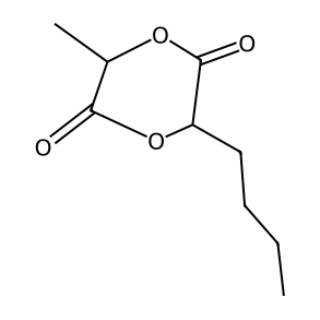 CCCCC1OC(=O)C(C)OC1=O